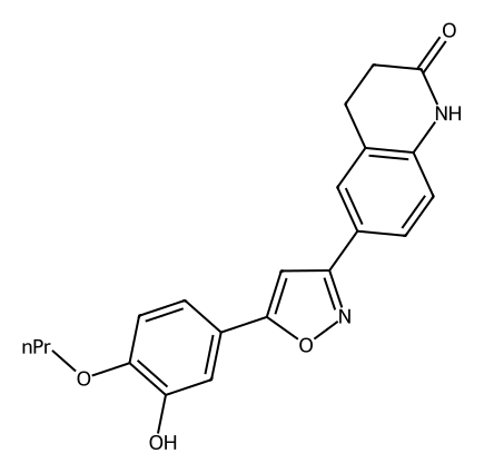 CCCOc1ccc(-c2cc(-c3ccc4c(c3)CCC(=O)N4)no2)cc1O